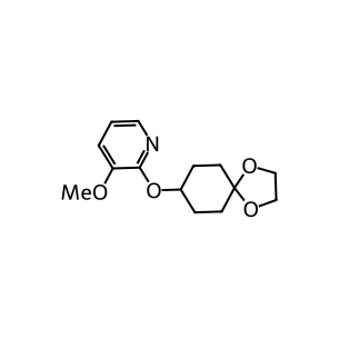 COc1cccnc1OC1CCC2(CC1)OCCO2